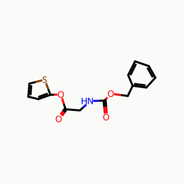 O=C(CNC(=O)OCc1ccccc1)Oc1cccs1